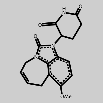 COc1ccc2c3c1CC=CCn3c(=O)n2C1CCC(=O)NC1=O